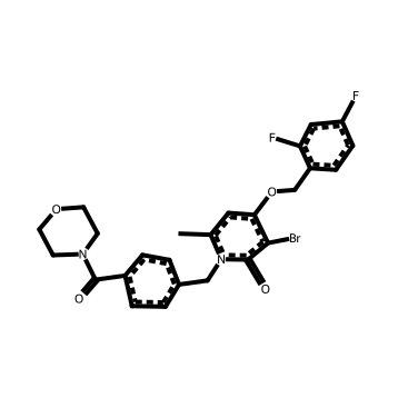 Cc1cc(OCc2ccc(F)cc2F)c(Br)c(=O)n1Cc1ccc(C(=O)N2CCOCC2)cc1